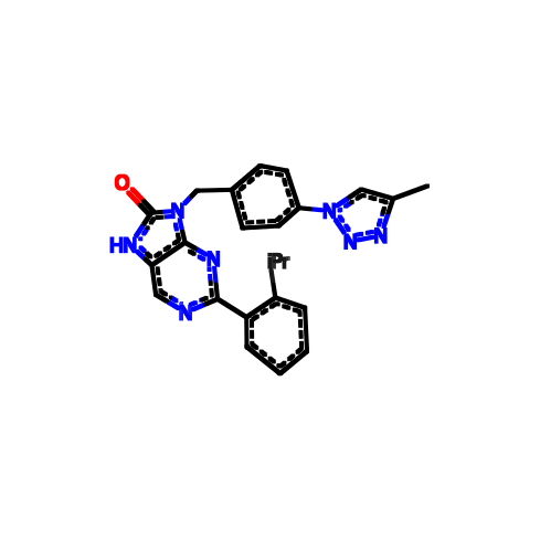 Cc1cn(-c2ccc(Cn3c(=O)[nH]c4cnc(-c5ccccc5C(C)C)nc43)cc2)nn1